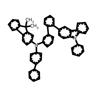 CC1(C)c2ccccc2-c2ccc(N(c3ccc(-c4ccccc4)cc3)c3cccc(-c4ccccc4-c4ccc5c(c4)c4ccccc4n5-c4ccccc4)c3)cc21